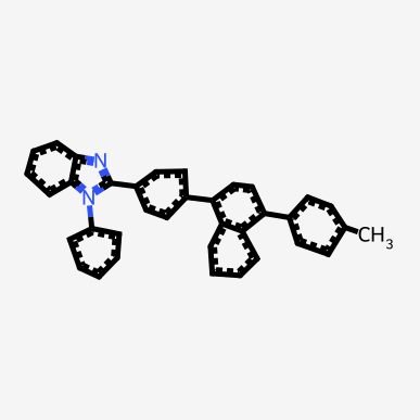 Cc1ccc(-c2ccc(-c3ccc(-c4nc5ccccc5n4-c4ccccc4)cc3)c3ccccc23)cc1